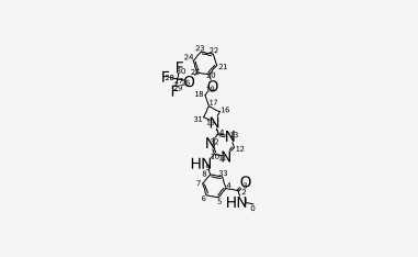 CNC(=O)c1cccc(Nc2ncnc(N3CC(COc4ccccc4OC(F)(F)F)C3)n2)c1